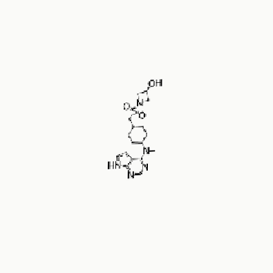 CN(c1ncnc2[nH]ccc12)C1CCC(CS(=O)(=O)N2CC(O)C2)CC1